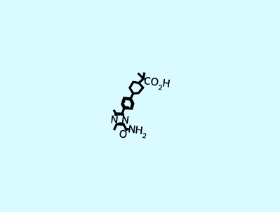 Cc1nc(C)c(-c2ccc(C3CCC(C(C)(C)C(=O)O)CC3)cc2)nc1C(N)=O